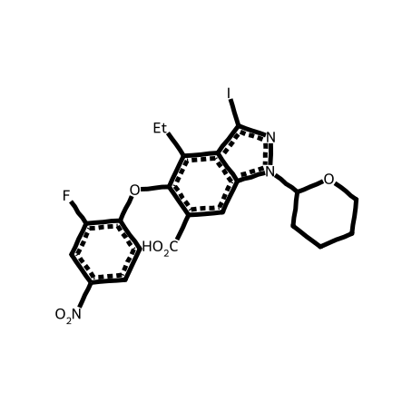 CCc1c(Oc2ccc([N+](=O)[O-])cc2F)c(C(=O)O)cc2c1c(I)nn2C1CCCCO1